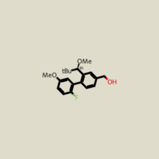 COc1ccc(F)c(-c2ccc(CO)cc2[C@H](OC)C(C)(C)C)c1